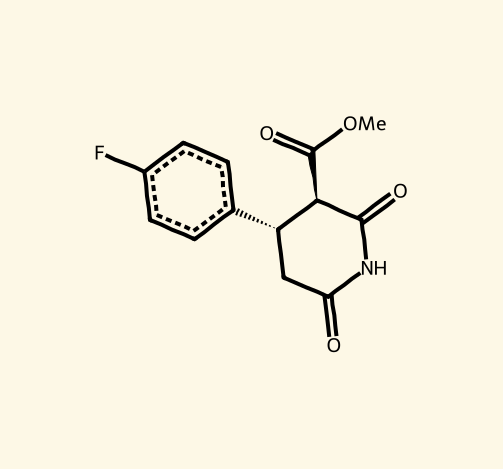 COC(=O)[C@H]1C(=O)NC(=O)C[C@@H]1c1ccc(F)cc1